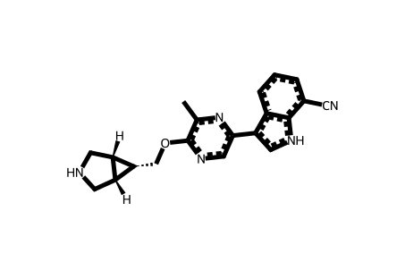 Cc1nc(-c2c[nH]c3c(C#N)cccc23)cnc1OC[C@@H]1[C@@H]2CNC[C@@H]21